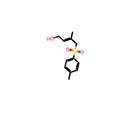 CC(=CCO)CS(=O)(=O)c1ccc(C)cc1